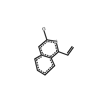 C=Cc1nc(Cl)cc2ccccc12